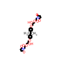 CC(C)(c1ccc(OCC(O)COC(=O)CN2C(=O)C=CC2=O)cc1)c1ccc(OCC(O)COC(=O)CN2C(=O)C=CC2=O)cc1